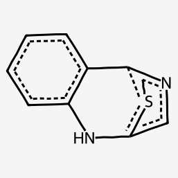 c1ccc2c(c1)Nc1cnc-2s1